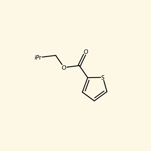 CC(C)COC(=O)c1cccs1